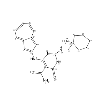 NC(=O)c1c(Nc2cc3cccccc-3c2)nc(NCC2(N)CCCCC2)[nH]c1=O